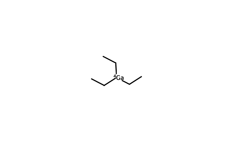 C[CH2][4Ga]([CH2]C)[CH2]C